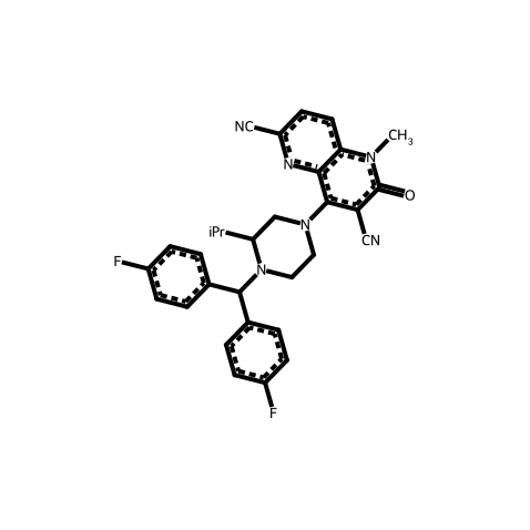 CC(C)C1CN(c2c(C#N)c(=O)n(C)c3ccc(C#N)nc23)CCN1C(c1ccc(F)cc1)c1ccc(F)cc1